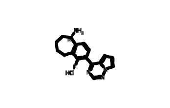 Cl.N[C@@H]1CCCCc2c1ccc(-c1ncnn3cccc13)c2F